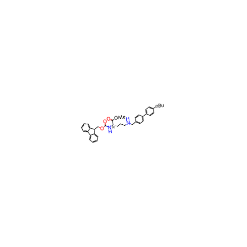 CCCCc1ccc(-c2ccc(CNCCC[C@H](NC(=O)OCC3c4ccccc4-c4ccccc43)C(=O)OC)cc2)cc1